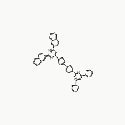 c1ccc(-c2cc(-c3ccccc3)nc(-c3ccc(-c4ccc(-c5cc(-c6ccc7ccccc7c6)nc(-c6ccc7ccccc7c6)n5)cc4)cc3)n2)cc1